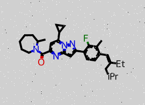 CC/C(=C/c1ccc(-c2cc3nc(C(=O)N4CCCCCC4C)cc(C4CC4)n3n2)c(F)c1C)CC(C)C